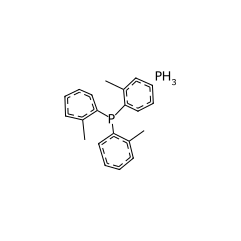 Cc1ccccc1P(c1ccccc1C)c1ccccc1C.P